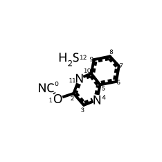 N#COc1cnc2ccccc2n1.S